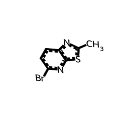 Cc1nc2ccc(Br)nc2s1